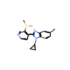 Cc1ccc2c(c1)nc(-c1ccncc1[S+](C)[O-])n2C1CC1